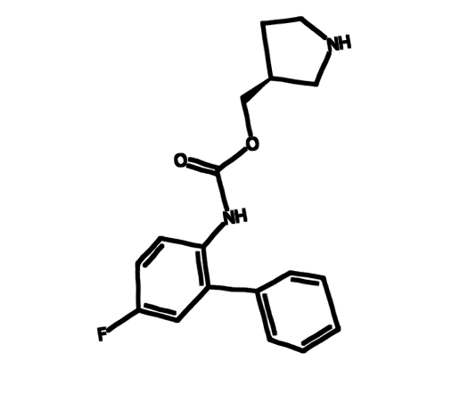 O=C(Nc1ccc(F)cc1-c1ccccc1)OC[C@H]1CCNC1